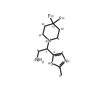 Cc1ncc(C(CN)N2CCC(F)(F)CC2)s1